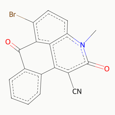 Cn1c(=O)c(C#N)c2c3c(c(Br)ccc31)C(=O)c1ccccc1-2